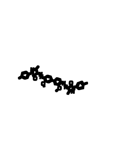 COc1cc(-c2ccc(N=NC3C(=O)N(c4ccc(C)cc4)N=C3C)c(OC)c2)ccc1N=NC1C(=O)N(c2ccc(C)cc2)N=C1C